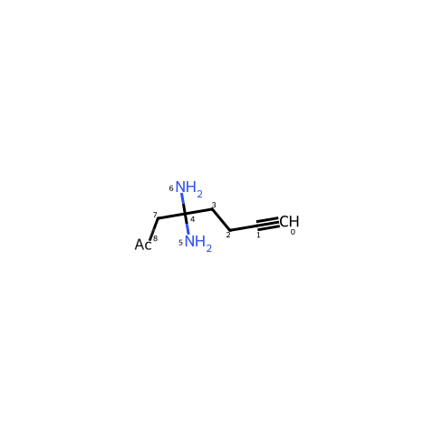 C#CCCC(N)(N)CC(C)=O